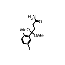 COC(CCC(N)=O)(OC)c1cc(I)ccc1F